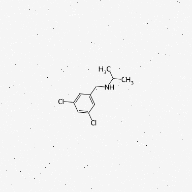 CC(C)NCc1cc(Cl)cc(Cl)c1